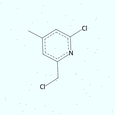 Cc1cc(Cl)nc(CCl)c1